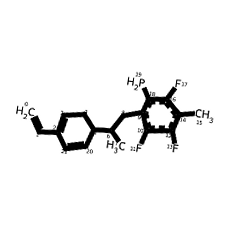 C=CC1=CCC(C(C)Cc2c(F)c(F)c(C)c(F)c2P)C=C1